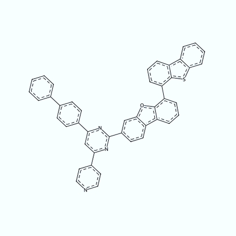 c1ccc(-c2ccc(-c3cc(-c4ccncc4)nc(-c4ccc5c(c4)oc4c(-c6cccc7c6sc6ccccc67)cccc45)n3)cc2)cc1